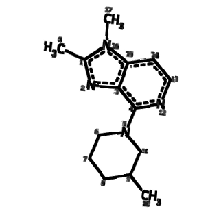 Cc1nc2c(N3CCCC(C)C3)nccc2n1C